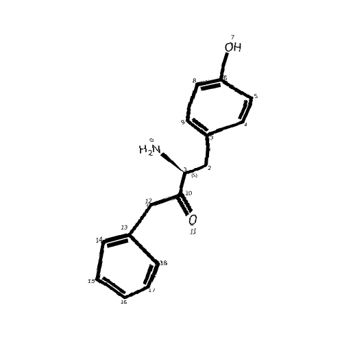 N[C@@H](Cc1ccc(O)cc1)C(=O)[CH]c1ccccc1